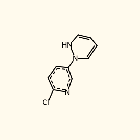 Clc1ccc(N2C=CC=CN2)cn1